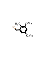 COc1cc(CBr)c(C)c(OC)c1